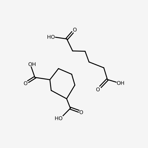 O=C(O)C1CCCC(C(=O)O)C1.O=C(O)CCCCC(=O)O